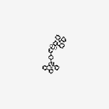 c1ccc(-c2nc(-c3ccc(-c4ccc5c(c4)Oc4c(ccc6c4-c4ccccc4C6(c4ccccc4)c4ccccc4)O5)cc3)cc(-c3ccccc3-c3ccccc3)n2)cc1